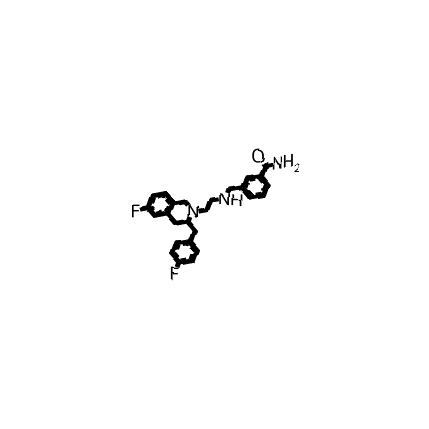 NC(=O)c1cccc(CNCCN2Cc3ccc(F)cc3CC2Cc2ccc(F)cc2)c1